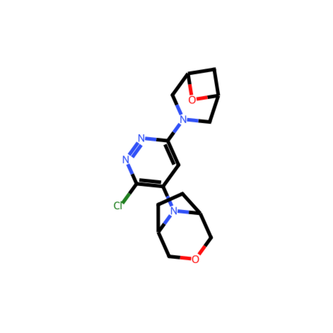 Clc1nnc(N2CC3CC(C2)O3)cc1N1C2CCC1COC2